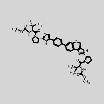 COC(=O)N[C@H](C(=O)N1CCC[C@H]1c1ncc(-c2ccc(-c3ccc4c(c3)OCc3[nH]c([C@@H]5CCCN5C(=O)[C@@H](NC(=O)OC)C(C)C)nc3-4)cc2)[nH]1)C(C)C